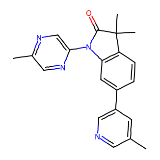 Cc1cncc(-c2ccc3c(c2)N(c2cnc(C)cn2)C(=O)C3(C)C)c1